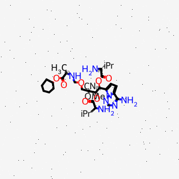 COC(C#N)(COCN[C@@H](C)C(=O)OC1CCCCC1)[C@@H](OC(=O)C(N)C(C)C)[C@@H](OC(=O)[C@H](N)C(C)C)c1ccc2c(N)ncnn12